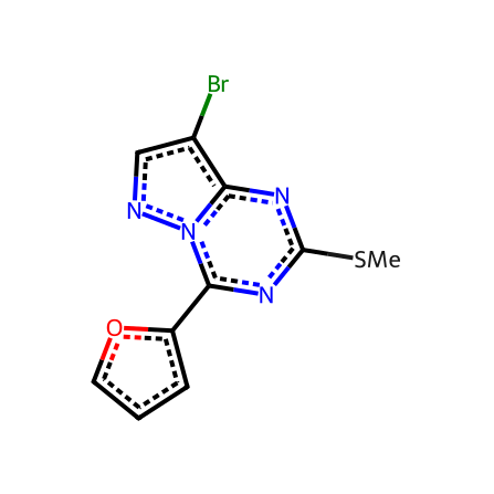 CSc1nc(-c2ccco2)n2ncc(Br)c2n1